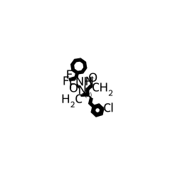 C=C(N=O)C1[C@@H](CCc2cccc(Cl)c2)C(=C)N1C(=O)NC(C1CCCCCCC1)C(F)(F)F